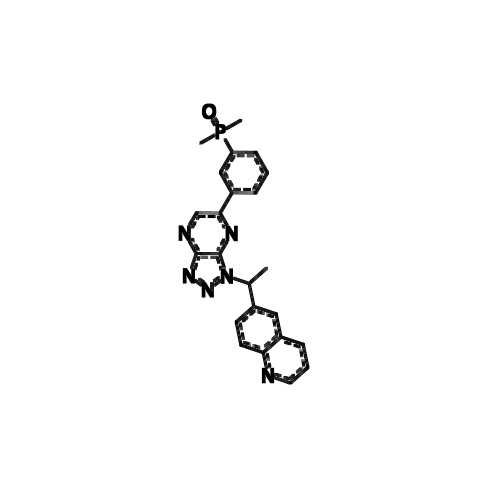 CC(c1ccc2ncccc2c1)n1nnc2ncc(-c3cccc(P(C)(C)=O)c3)nc21